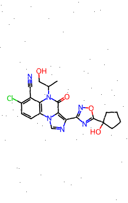 CC(CO)n1c(=O)c2c(-c3noc(C4(O)CCCC4)n3)ncn2c2ccc(Cl)c(C#N)c21